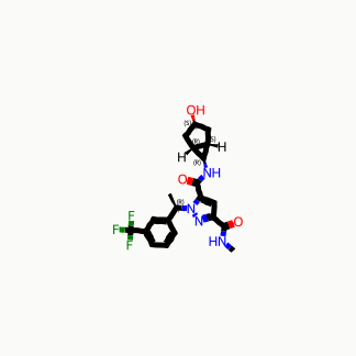 CNC(=O)c1cc(C(=O)N[C@H]2[C@@H]3C[C@@H](O)C[C@@H]32)n([C@H](C)c2cccc(C(F)(F)F)c2)n1